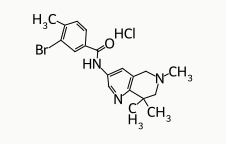 Cc1ccc(C(=O)Nc2cnc3c(c2)CN(C)CC3(C)C)cc1Br.Cl